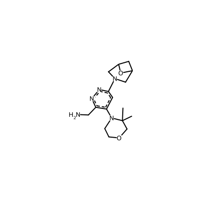 CC1(C)COCCN1c1cc(N2CC3CC(C2)O3)nnc1CN